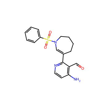 Nc1ccnc(C2=CN(S(=O)(=O)c3ccccc3)CCCC2)c1C=O